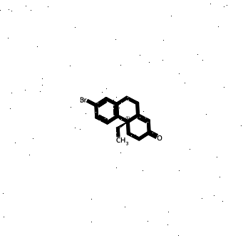 CC[C@]12CCC(=O)C=C1CCc1cc(Br)ccc12